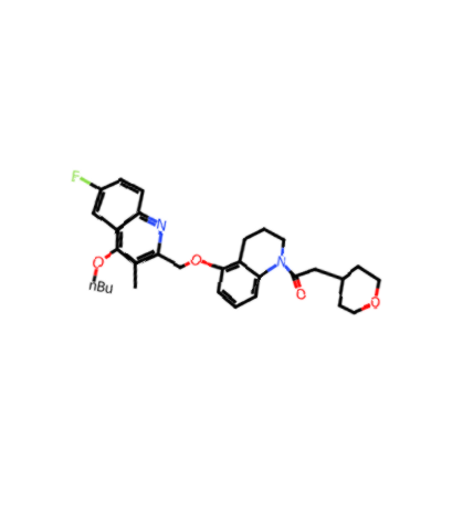 CCCCOc1c(C)c(COc2cccc3c2CCCN3C(=O)CC2CCOCC2)nc2ccc(F)cc12